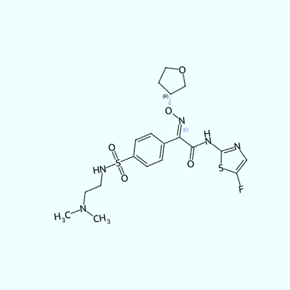 CN(C)CCNS(=O)(=O)c1ccc(/C(=N\O[C@@H]2CCOC2)C(=O)Nc2ncc(F)s2)cc1